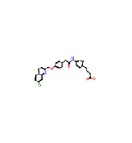 O=C(O)CCCc1ccc(NC(=O)Cc2ccc(OCc3ccc4ccc(Cl)cc4n3)cc2)cc1